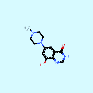 CN1CCN(c2cc(O)c3nc[nH]c(=O)c3c2)CC1